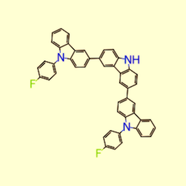 Fc1ccc(-n2c3ccccc3c3cc(-c4ccc5[nH]c6ccc(-c7ccc8c(c7)c7ccccc7n8-c7ccc(F)cc7)cc6c5c4)ccc32)cc1